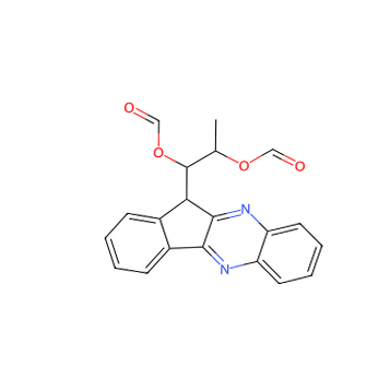 CC(OC=O)C(OC=O)C1c2ccccc2-c2nc3ccccc3nc21